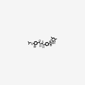 Cc1cc(C)nc(NS(=O)(=O)c2ccc(NC(=S)NC(=O)c3ccc(OCC(C)C)c(Br)c3)cc2)n1